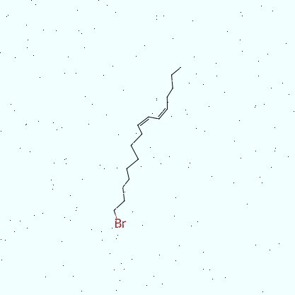 CCCC/C=C\C=C/CCCCCCCCBr